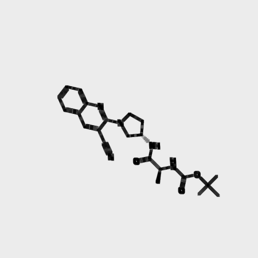 C[C@H](NC(=O)OC(C)(C)C)C(=O)N[C@H]1CCN(c2nc3ccccc3cc2C#N)C1